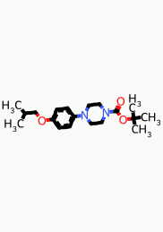 CC(C)COc1ccc(N2CCN(C(=O)OC(C)(C)C)CC2)cc1